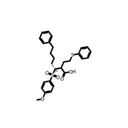 COc1ccc(S(=O)(=O)[C@H](CCCCc2ccccc2)C(CCSc2ccccc2)C(=O)O)cc1